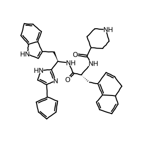 O=C(N[C@H](CC1=C2C=CC=CC2CC=C1)C(=O)N[C@H](Cc1c[nH]c2ccccc12)c1nc(-c2ccccc2)c[nH]1)C1CCNCC1